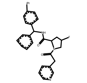 CC(C)c1ccc(C(NC(=O)C2CC(F)CN2C(=O)Cc2cccnc2)c2ccccc2)cc1